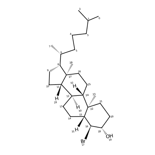 CC(C)CCC[C@@H](C)[C@H]1CC[C@H]2[C@@H]3CC[C@H]4[C@H](Br)[C@@H](O)CC[C@]4(C)[C@H]3CC[C@]12C